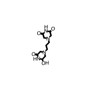 O=C1CN(CCCN2CC(=O)NC(O)C2)CC(=O)N1